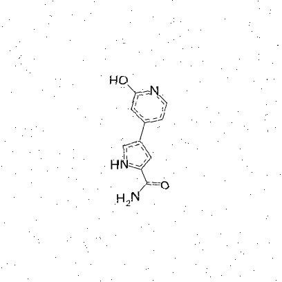 NC(=O)c1cc(-c2ccnc(O)c2)c[nH]1